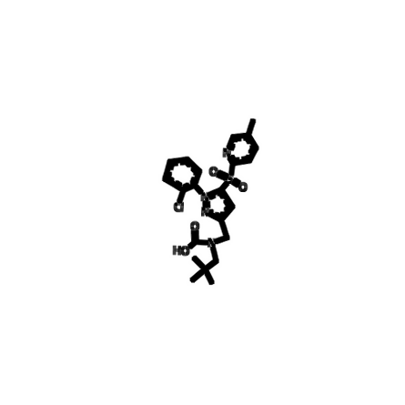 Cc1ccc(S(=O)(=O)c2cc(CN(CC(C)(C)C)C(=O)O)nn2-c2ccccc2Cl)nc1